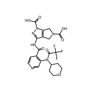 O=C(Nc1nn(C(=O)O)c2c1CN(C(=O)O)C2)c1ccncc1N(C(=O)C(F)(F)F)C1CCOCC1